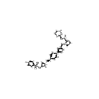 Cc1ccc(S(=O)(=O)O[C@H]2C[C@@H](C#Cc3ccc(-c4cc(Cn5ccnc5[C@H](C)OC5CCCCO5)no4)cc3)C2)cc1